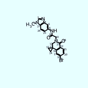 Cn1cnc2cc(NC(=O)CN3CC4(CC4)c4cc(Br)ccc4C3=O)ccc21